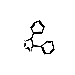 c1ccc(C2N=NNC2c2ccccc2)cc1